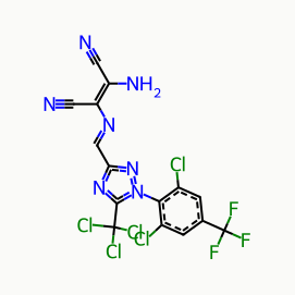 N#CC(N)=C(C#N)N=Cc1nc(C(Cl)(Cl)Cl)n(-c2c(Cl)cc(C(F)(F)F)cc2Cl)n1